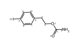 NC(=O)OCCc1ccc(I)cc1